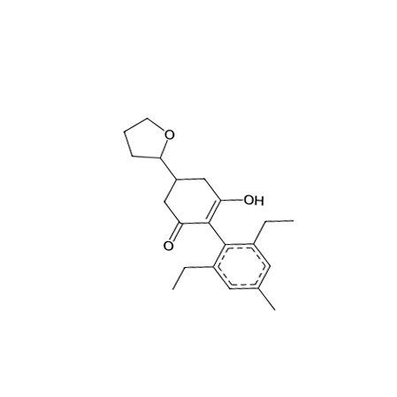 CCc1cc(C)cc(CC)c1C1=C(O)CC(C2CCCO2)CC1=O